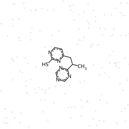 CC(Cc1ccnc(S)n1)c1ncncn1